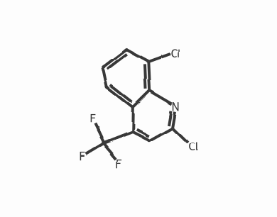 FC(F)(F)c1cc(Cl)nc2c(Cl)cccc12